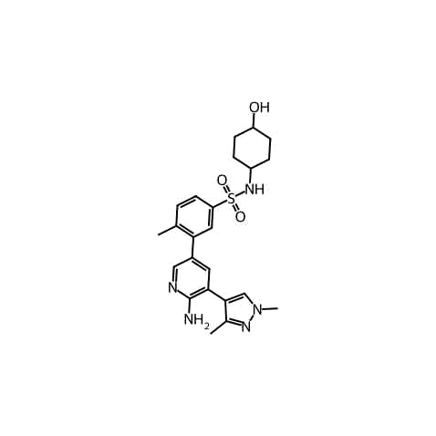 Cc1ccc(S(=O)(=O)NC2CCC(O)CC2)cc1-c1cnc(N)c(-c2cn(C)nc2C)c1